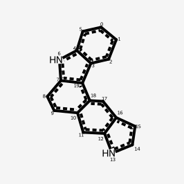 c1ccc2c(c1)[nH]c1ccc3cc4[nH]ccc4cc3c12